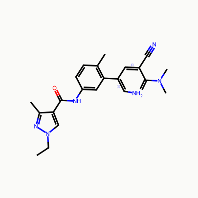 C=C(/C(C#N)=C\C(=C/N)c1cc(NC(=O)c2cn(CC)nc2C)ccc1C)N(C)C